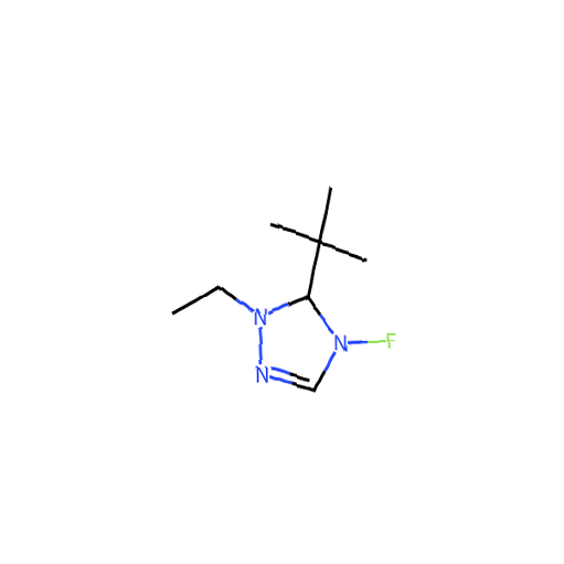 CCN1N=CN(F)C1C(C)(C)C